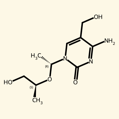 C[C@@H](CO)O[C@H](C)n1cc(CO)c(N)nc1=O